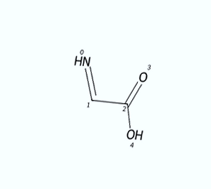 N=CC(=O)O